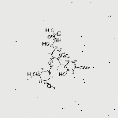 COc1cc(O)c([C@H](CC(=O)N2C[C@H](C)C[C@H](C)C2)c2ccc(C(O)NS(C)(=O)=O)cc2)c(OC)c1